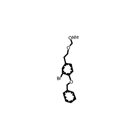 COCOCCc1ccc(OCc2ccccc2)c(Br)c1